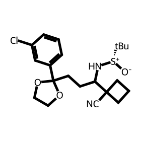 CC(C)(C)[S@+]([O-])NC(CCC1(c2cccc(Cl)c2)OCCO1)C1(C#N)CCC1